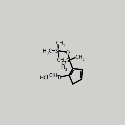 C[Si](C)(C)O[Si](C)(C)C1=[C]([Ti])CC=C1.Cl.Cl